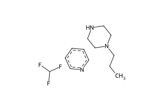 CCCN1CCNCC1.FC(F)F.c1ccncc1